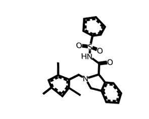 Cc1cc(C)c(CN2Cc3ccccc3C2C(=O)NS(=O)(=O)c2ccccc2)c(C)c1